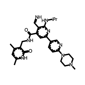 Cc1cc(C)c(CNC(=O)c2cc(-c3ccc(N4CCN(C)CC4)nc3)nc(NC(C)C)c2C=N)c(=O)[nH]1